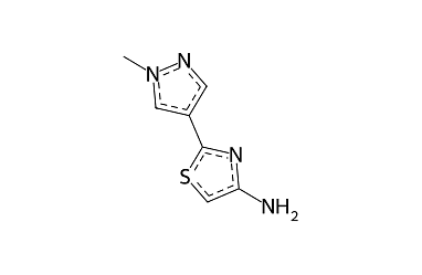 Cn1cc(-c2nc(N)cs2)cn1